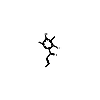 C/C=C/C(=O)c1cc(C)c(O)c(C)c1O